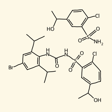 CC(C)c1cc(Br)cc(C(C)C)c1NC(=O)NS(=O)(=O)c1cc(C(C)O)ccc1Cl.CC(O)c1ccc(Cl)c(S(N)(=O)=O)c1